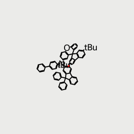 CC(C)(C)c1ccc2c(c1)C1(c3ccccc3Oc3ccc(N(c4ccc(-c5ccccc5)cc4)c4ccc5c(c4)C(c4ccccc4)(c4ccccc4)c4ccccc4-5)cc31)c1cc(C(C)(C)C)ccc1-2